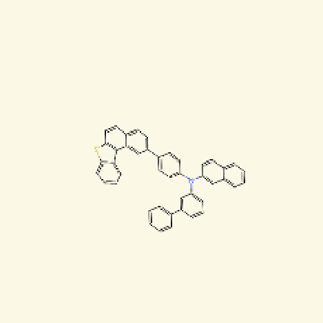 c1ccc(-c2cccc(N(c3ccc(-c4ccc5ccc6sc7ccccc7c6c5c4)cc3)c3ccc4ccccc4c3)c2)cc1